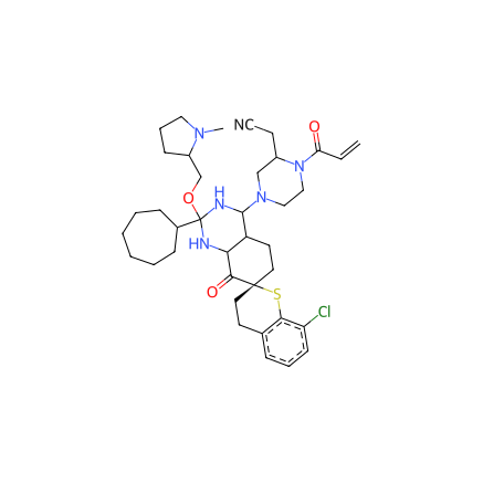 C=CC(=O)N1CCN(C2NC(OCC3CCCN3C)(C3CCCCCC3)NC3C(=O)[C@]4(CCc5cccc(Cl)c5S4)CCC32)CC1CC#N